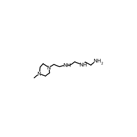 CN1CCN(CCNCCNCCN)CC1